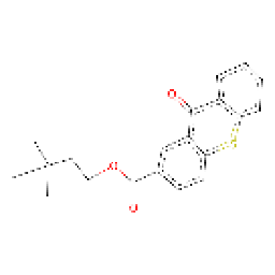 CC(C)(C)CCOC(=O)c1ccc2sc3ccccc3c(=O)c2c1